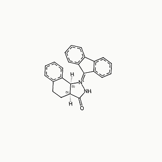 O=C1N[N+](=C2c3ccccc3-c3ccccc32)[C@@H]2c3ccccc3CC[C@H]12